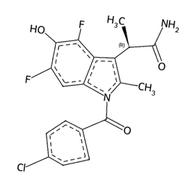 Cc1c([C@@H](C)C(N)=O)c2c(F)c(O)c(F)cc2n1C(=O)c1ccc(Cl)cc1